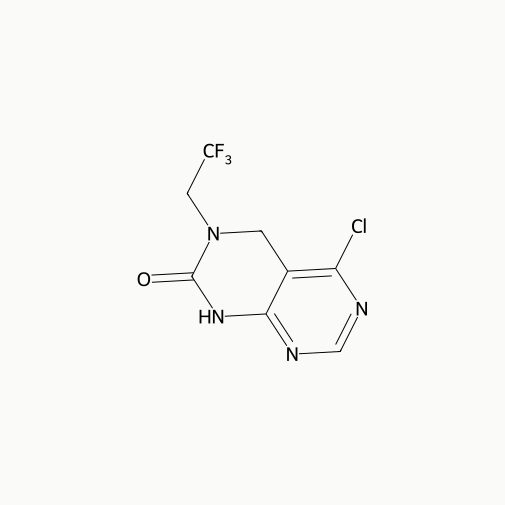 O=C1Nc2ncnc(Cl)c2CN1CC(F)(F)F